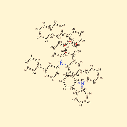 c1ccc(-c2cccc(N(c3ccc(-c4c(-c5ccccc5)ccc5ccccc45)cc3)c3ccc(-c4ccccc4-n4c5ccccc5c5ccccc54)cc3-c3ccccc3)c2)cc1